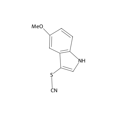 COc1ccc2[nH]cc(SC#N)c2c1